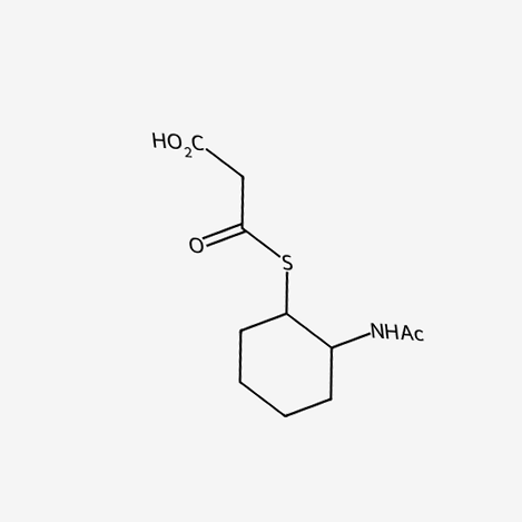 CC(=O)NC1CCCCC1SC(=O)CC(=O)O